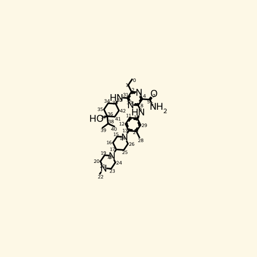 CCc1nc(C(N)=O)c(Nc2ccc(N3CCC(N4CCN(C)CC4)CC3)c(C)c2)nc1NC1CCC(O)(C(C)C)CC1